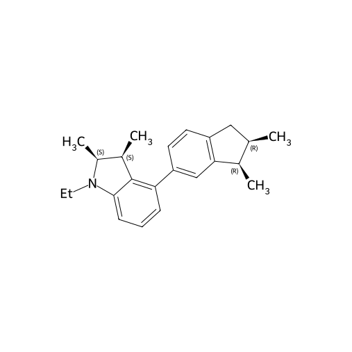 CCN1c2cccc(-c3ccc4c(c3)[C@H](C)[C@H](C)C4)c2[C@H](C)[C@@H]1C